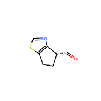 O=C[C@@H]1CCc2scnc21